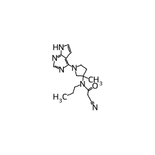 CCCN(C(=O)CC#N)C1(C)CCN(c2ncnc3[nH]ccc23)C1